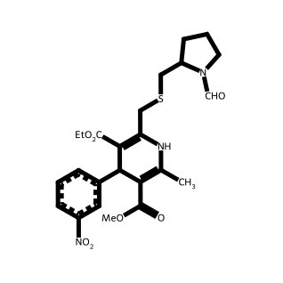 CCOC(=O)C1=C(CSCC2CCCN2C=O)NC(C)=C(C(=O)OC)C1c1cccc([N+](=O)[O-])c1